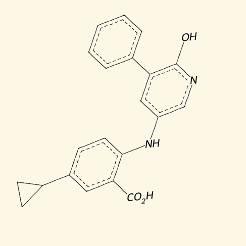 O=C(O)c1cc(C2CC2)ccc1Nc1cnc(O)c(-c2ccccc2)c1